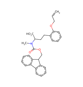 C=CCOc1ccccc1CCC(C(=O)O)N(C)C(=O)OCC1c2ccccc2-c2ccccc21